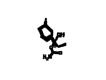 CC[C@](O)(OC(N)=O)c1cccc(I)c1